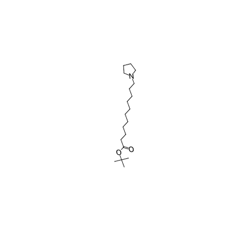 CC(C)(C)OC(=O)CCCCCCCCCCN1CCCC1